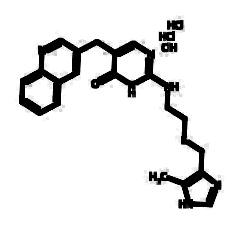 Cc1[nH]cnc1CSCCNc1ncc(Cc2cnc3ccccc3c2)c(=O)[nH]1.Cl.Cl.Cl